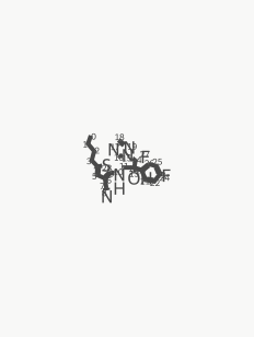 CCCCc1cc(C#N)c(NC[C@](O)(Cn2cncn2)c2ccc(F)cc2F)s1